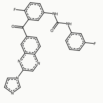 O=C(Nc1cccc(F)c1)Nc1ccc(F)c(C(=O)c2ccc3ncc(-n4ccnc4)nc3c2)c1